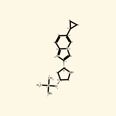 CC(C)(C)[Si](C)(C)O[C@H]1CN[C@@H](c2cn3cc(C4CC4)ccc3n2)C1